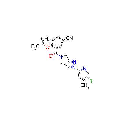 Cc1cc(-n2cc3c(n2)CN(C(=O)c2cc(C#N)ccc2O[C@@H](C)C(F)(F)F)C3)ncc1F